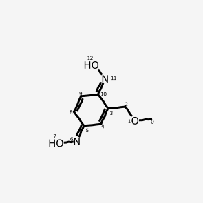 COCC1=CC(=NO)C=CC1=NO